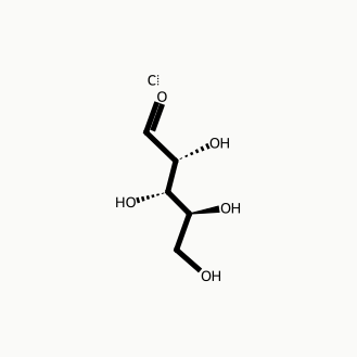 O=C[C@H](O)[C@@H](O)[C@@H](O)CO.[C]